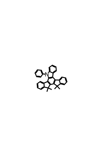 CC1(C)c2ccccc2-c2c1c1c(c3c2c2ccccc2n3-c2ccccc2)-c2ccccc2C1(C)C